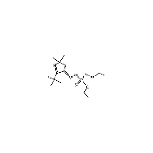 CCCSP(=S)(OCC)ON=C1SC(C)(C)N=C1C(C)(C)C